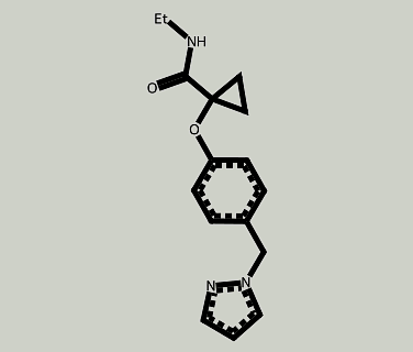 CCNC(=O)C1(Oc2ccc(Cn3cccn3)cc2)CC1